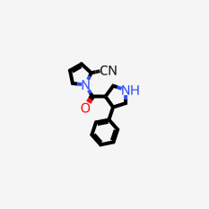 N#CC1C=CCN1C(=O)C1CNCC1c1ccccc1